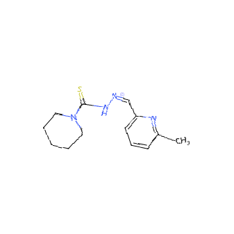 Cc1cccc(/C=N\NC(=S)N2CCCCC2)n1